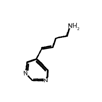 NCCC=Cc1cncnc1